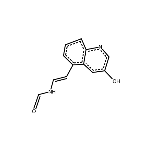 O=CNC=Cc1cccc2ncc(O)cc12